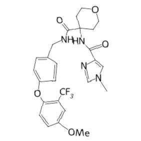 COc1ccc(Oc2ccc(CNC(=O)C3(NC(=O)c4cn(C)cn4)CCOCC3)cc2)c(C(F)(F)F)c1